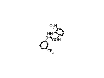 O=C(Nc1cccc(C(F)(F)F)c1)Nc1c(O)cccc1[N+](=O)[O-]